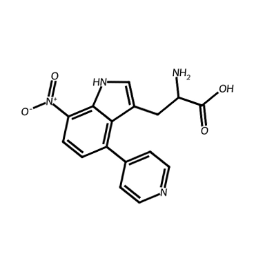 NC(Cc1c[nH]c2c([N+](=O)[O-])ccc(-c3ccncc3)c12)C(=O)O